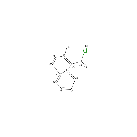 Cc1ccc2ccccc2c1C(C)Cl